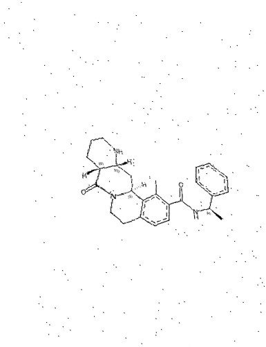 Cc1c(C(=O)N[C@H](C)c2ccccc2)ccc2c1[C@@H]1C[C@H]3NCCC[C@H]3C(=O)N1CC2